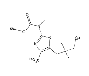 CN(C(=O)OC(C)(C)C)c1nc(C(=O)O)c(CC(C)(C)CO)s1